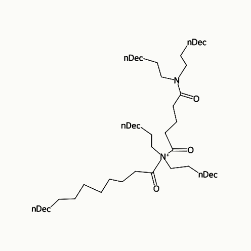 CCCCCCCCCCCCCCCCCC(=O)[N+](CCCCCCCCCCCC)(CCCCCCCCCCCC)C(=O)CCCC(=O)N(CCCCCCCCCCCC)CCCCCCCCCCCC